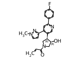 C=CC(=O)N1C[C@H](O)[C@H](c2cnc(-c3ccc(F)cc3)cc2-c2ccn(C)n2)C1